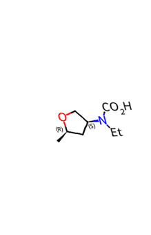 CCN(C(=O)O)[C@@H]1CO[C@H](C)C1